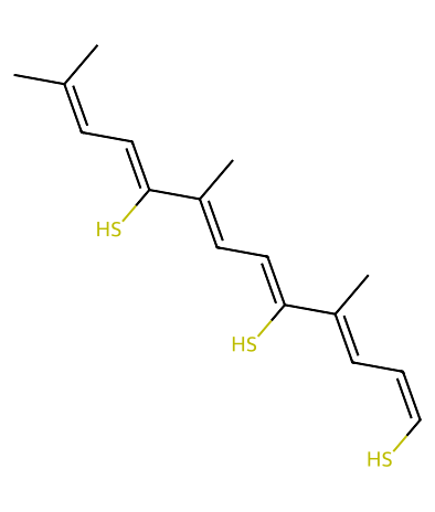 CC(C)=C/C=C(S)/C(C)=C/C=C(S)/C(C)=C/C=C\S